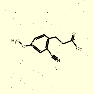 COc1ccc(CCC(=O)O)c(C#N)c1